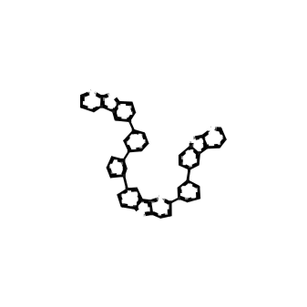 c1cc(-c2cccc(-c3ccc4oc5ccc(-c6cccc(-c7ccc8oc9ncccc9c8c7)c6)nc5c4c3)c2)cc(-c2ccc3oc4ncccc4c3c2)c1